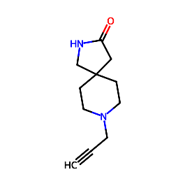 C#CCN1CCC2(CC1)CNC(=O)C2